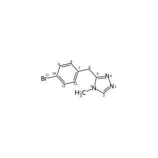 Cn1cnnc1Cc1ccc(Br)cc1